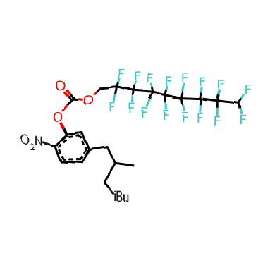 CCC(C)CC(C)Cc1ccc([N+](=O)[O-])c(OC(=O)OCC(F)(F)C(F)(F)C(F)(F)C(F)(F)C(F)(F)C(F)(F)C(F)(F)C(F)F)c1